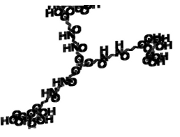 CC(COCCC(=O)NCCCNC(=O)CCCCOC1OC(COP(=O)(O)O)C(O)C(O)C1O)(COCCC(=O)NCCCNC(=O)CCCCOC1OC(COP(=O)(O)O)C(O)C(O)C1O)COCCC(=O)NCCCNC(=O)CCCCOC1OC(COP(=O)(O)O)C(O)C(O)[C@H]1O